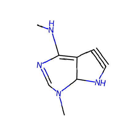 CNC1=C2C#CNC2N(C)C=N1